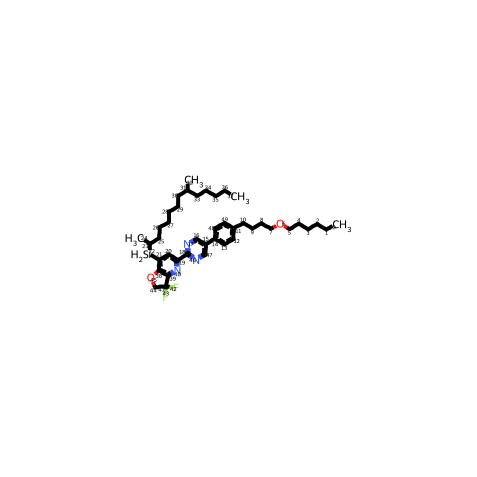 CCCCCCOCCCCc1ccc(-c2cnc(-c3cc([SiH2]C(C)CCCCCCC(C)CCCCC)c4c(n3)C(F)(F)CO4)nc2)cc1